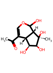 CC(=O)C1=COC(O)[C@H]2[C@@H]1[C@H](O)[C@H](O)[C@]2(C)O